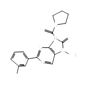 Cn1c(=O)n(C(=O)N2CCCC2)c2nc(-c3cccc(F)c3)ncc21